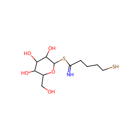 N=C(CCCCS)SC1OC(CO)C(O)C(O)C1O